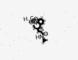 CS(=O)(=O)N1CCc2cc(C(=O)NC3CC3)sc2-c2ccccc21